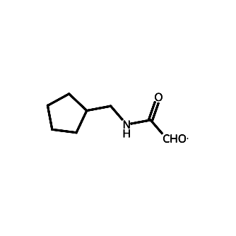 O=[C]C(=O)NCC1CCCC1